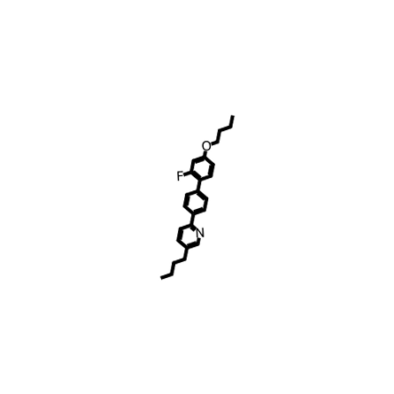 CCCCOc1ccc(-c2ccc(-c3ccc(CCCC)cn3)cc2)c(F)c1